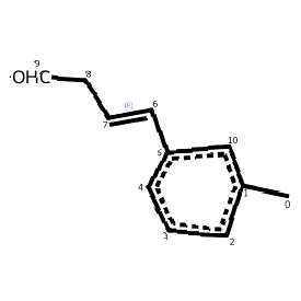 Cc1cccc(/C=C/C[C]=O)c1